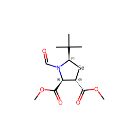 COC(=O)[C@H]1[Se][C@H](C(C)(C)C)N(C=O)[C@@H]1C(=O)OC